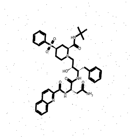 CC(C)(C)NC(=O)[C@@H]1C[C@H](S(=O)(=O)c2ccccc2)CCN1C[C@@H](O)[C@H](Cc1ccccc1)NC(=O)[C@H](CC(N)=O)NC(=O)c1ccc2ccccc2n1